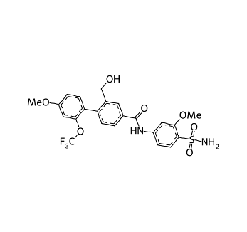 COc1ccc(-c2ccc(C(=O)Nc3ccc(S(N)(=O)=O)c(OC)c3)cc2CO)c(OC(F)(F)F)c1